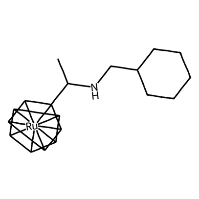 CC(NCC1CCCCC1)[C]12[CH]3[CH]4[CH]5[CH]1[Ru]45321678[CH]2[CH]1[CH]6[CH]7[CH]28